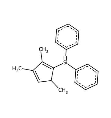 CC1=CC(C)C([SiH](c2ccccc2)c2ccccc2)=C1C